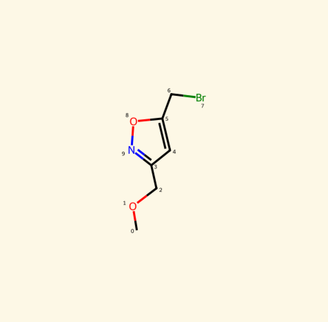 COCc1cc(CBr)on1